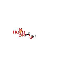 [CH2]COCCOP(=O)(O)O